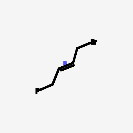 FC/C=C/CBr